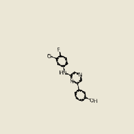 Oc1cccc(-c2cncc(Nc3ccc(F)c(Cl)c3)n2)c1